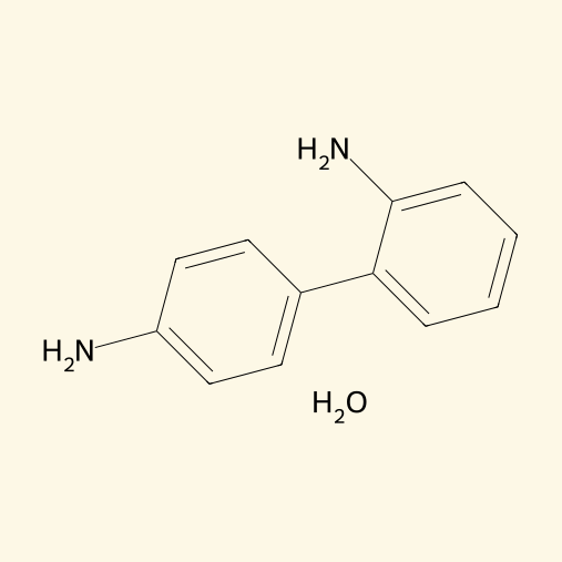 Nc1ccc(-c2ccccc2N)cc1.O